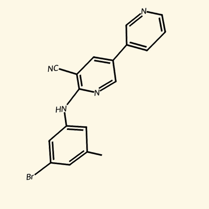 Cc1cc(Br)cc(Nc2ncc(-c3cccnc3)cc2C#N)c1